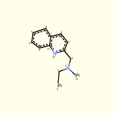 CC(C)CN(Cc1ccc2ccccc2n1)C(C)C